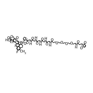 CC[C@]1(O)C(=O)OCc2c1cc1n(c2=O)Cc2c-1nc1cc(F)c(C)c3c1c2[C@H](NC(=O)[C@@H]1CCCN1C(=O)CNC(=O)CNC(=O)CNC(=O)CNC(=O)CNC(=O)CCOCCOCCOCCOCCNC(=O)CCN1C(=O)C=CC1=O)CC3